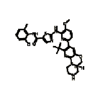 COc1ccc(-c2cc3c(nc2C(C)(C)C)N2CCNC[C@H]2CO3)nc1Nc1ncc(C(=O)Nc2c(C)cccc2Cl)s1